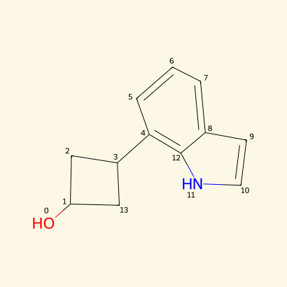 OC1CC(c2cccc3cc[nH]c23)C1